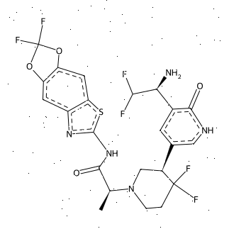 C[C@@H](C(=O)Nc1nc2cc3c(cc2s1)OC(F)(F)O3)N1CCC(F)(F)[C@H](c2c[nH]c(=O)c([C@H](N)C(F)F)c2)C1